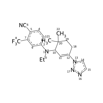 CCN(c1ccc(C#N)c(C(F)(F)F)c1)C1C=C(n2ccnn2)CCC1(C)C